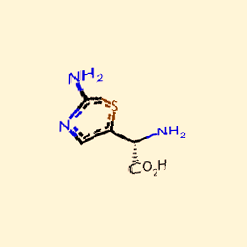 Nc1ncc([C@H](N)C(=O)O)s1